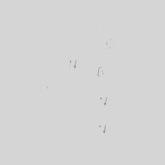 c1cc2c3c(c1)-n1c4ncccc4c4cccc(c41)B3c1oc3ccccc3c1N2c1cccc2c1oc1ccccc12